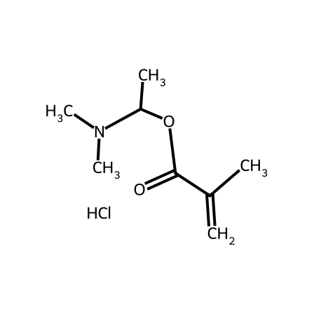 C=C(C)C(=O)OC(C)N(C)C.Cl